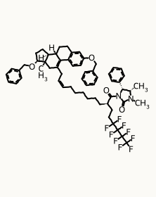 C[C@H]1[C@@H](c2ccccc2)N(C(=O)[C@H](CCCCCC/C=C\CC2=C3c4ccc(OCc5ccccc5)cc4CC[C@H]3[C@@H]3CC[C@H](OCc4ccccc4)[C@@]3(C)C2)CCC(F)(F)C(F)(F)C(F)(F)C(F)(F)F)C(=O)N1C